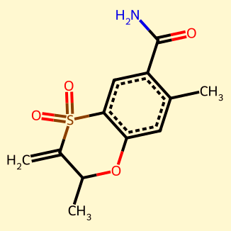 C=C1C(C)Oc2cc(C)c(C(N)=O)cc2S1(=O)=O